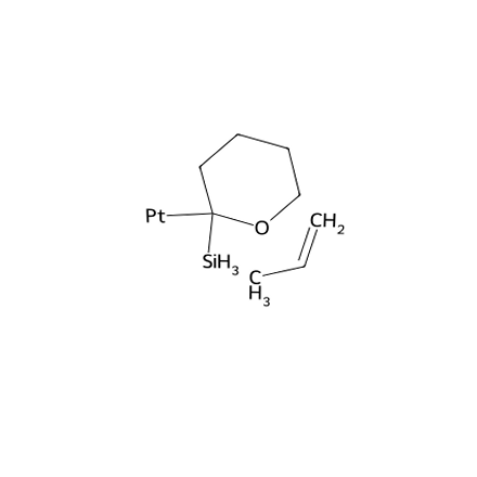 C=CC.[SiH3][C]1([Pt])CCCCO1